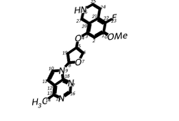 COc1cc(OC2COC(n3ccc4c(C)ncnc43)C2)c2c(c1F)CCNC2